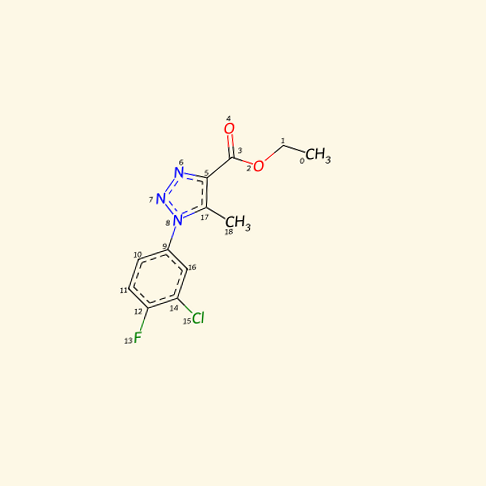 CCOC(=O)c1nnn(-c2ccc(F)c(Cl)c2)c1C